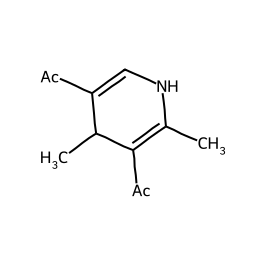 CC(=O)C1=CNC(C)=C(C(C)=O)C1C